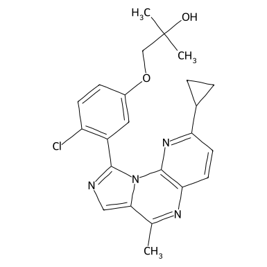 Cc1nc2ccc(C3CC3)nc2n2c(-c3cc(OCC(C)(C)O)ccc3Cl)ncc12